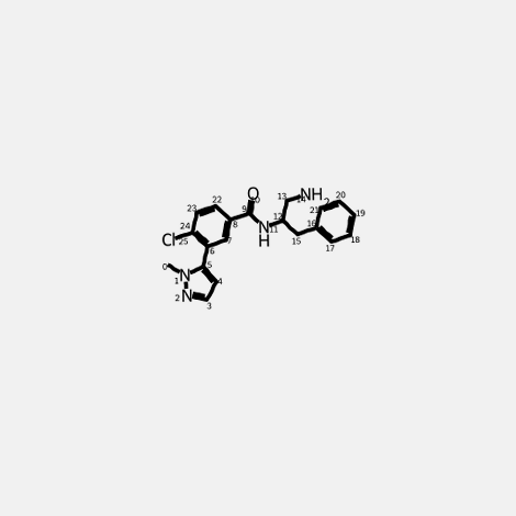 Cn1nccc1-c1cc(C(=O)NC(CN)Cc2ccccc2)ccc1Cl